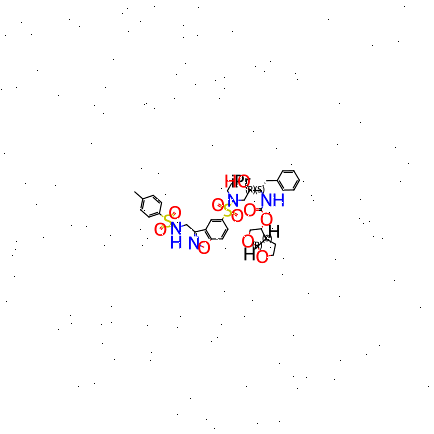 Cc1ccc(S(=O)(=O)NCc2noc3ccc(S(=O)(=O)N(CC(C)C)C[C@@H](O)[C@H](Cc4ccccc4)NC(=O)OC4CO[C@H]5OCC[C@@H]45)cc23)cc1